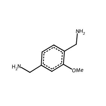 COc1cc(CN)ccc1CN